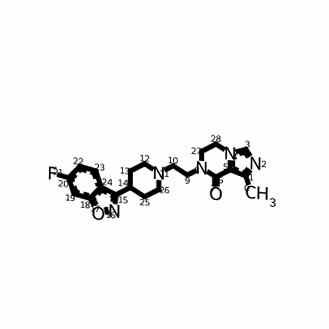 Cc1ncn2c1C(=O)N(CCN1CCC(c3noc4cc(F)ccc34)CC1)CC2